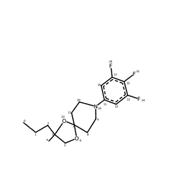 CCCC1(C)COC2(CCN(c3cc(F)c(F)c(F)c3)CC2)O1